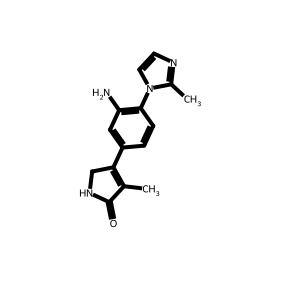 CC1=C(c2ccc(-n3ccnc3C)c(N)c2)CNC1=O